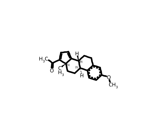 COc1ccc2c(c1)CC[C@H]1C3=CC=C(C(C)=O)[C@@]3(C)CC[C@H]21